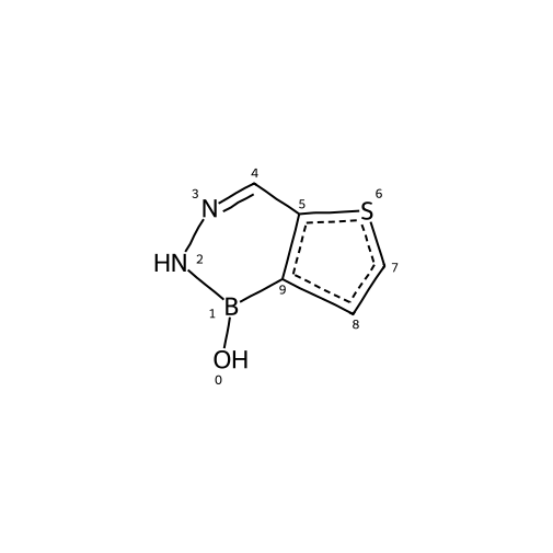 OB1NN=Cc2sccc21